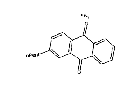 CCCCCc1ccc2c(c1)C(=O)c1ccccc1C2=O.P